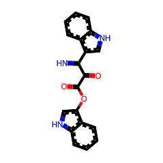 N=C(C(=O)C(=O)Oc1c[nH]c2ccccc12)c1c[nH]c2ccccc12